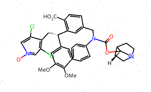 COc1ccc([C@H](Cc2c(Cl)c[n+]([O-])cc2Cl)c2cc(CN(C(=O)O[C@H]3CN4CCC3CC4)c3ccccc3)ccc2C(=O)O)cc1OC